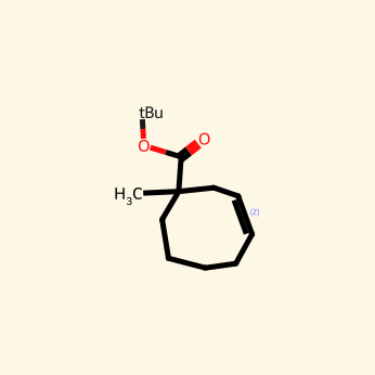 CC(C)(C)OC(=O)C1(C)C/C=C\CCCC1